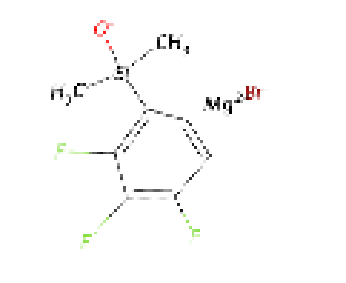 C[Si](C)([O-])c1ccc(F)c(F)c1F.[Br-].[Mg+2]